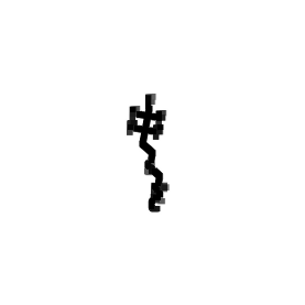 [C-]#[N+]CSCCC(F)(F)C(F)(F)F